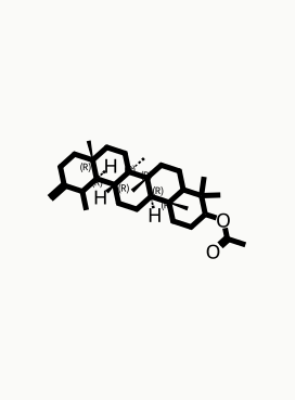 C=C1CC[C@]2(C)CC[C@]3(C)[C@H](CC[C@@H]4[C@@]5(C)CCC(OC(C)=O)C(C)(C)C5CC[C@]43C)[C@H]2C1C